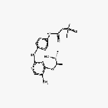 Bc1cnc(Nc2ccc(NC(=O)N=S(C)(C)=O)cc2)nc1O[C@H](C)[C@@H](C)O